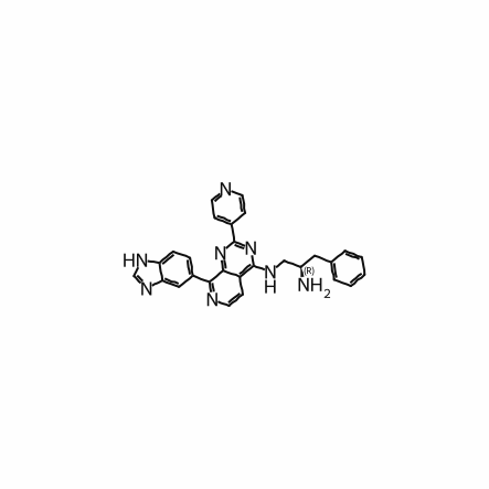 N[C@@H](CNc1nc(-c2ccncc2)nc2c(-c3ccc4[nH]cnc4c3)nccc12)Cc1ccccc1